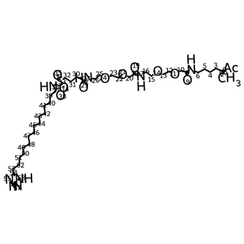 CC(=O)[C@@H](C)CCCCNC(=O)COCCOCCNC(=O)COCCOCCNC(=O)CCCS(=O)(=O)NC(=O)CCCCCCCCCCCCCCCc1nnn[nH]1